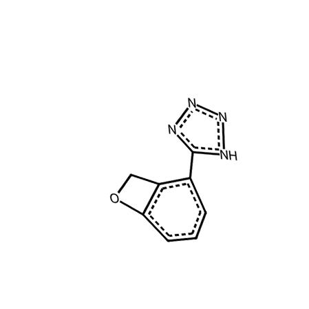 c1cc2c(c(-c3nnn[nH]3)c1)CO2